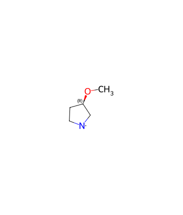 CO[C@@H]1CC[N]C1